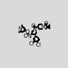 Cc1cc(OC(=O)N(C)[C@@H]2CN(C(=O)C3CCN(C(=O)C4(C)CC4)CC3)C[C@H]2C2C=C(Cl)C(Cl)=CC2)cc(C)n1